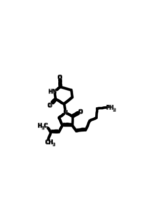 CC(C)=CC1=C(/C=C\CCCP)C(=O)N(C2CCC(=O)NC2=O)C1